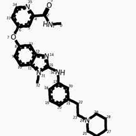 CNC(=O)c1cc(Oc2ccc3c(c2)nc(Nc2cccc(CCN4CCCCC4)c2)n3C)ccn1